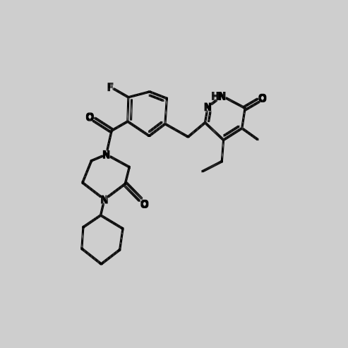 CCc1c(Cc2ccc(F)c(C(=O)N3CCN(C4CCCCC4)C(=O)C3)c2)n[nH]c(=O)c1C